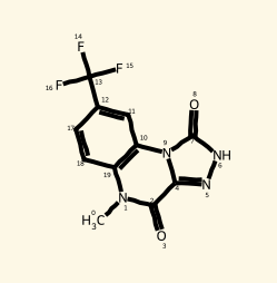 Cn1c(=O)c2n[nH]c(=O)n2c2cc(C(F)(F)F)ccc21